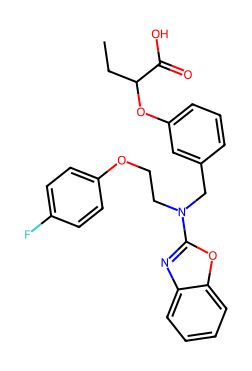 CCC(Oc1cccc(CN(CCOc2ccc(F)cc2)c2nc3ccccc3o2)c1)C(=O)O